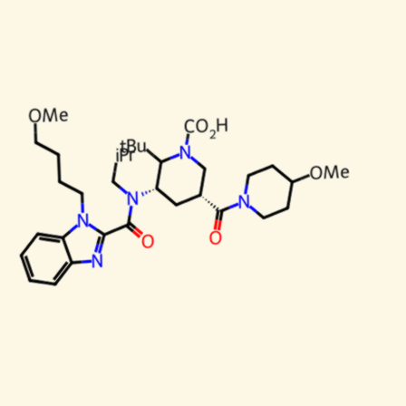 COCCCCn1c(C(=O)N(CC(C)C)[C@H]2C[C@@H](C(=O)N3CCC(OC)CC3)CN(C(=O)O)C2C(C)(C)C)nc2ccccc21